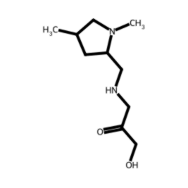 CC1CC(CNCC(=O)CO)N(C)C1